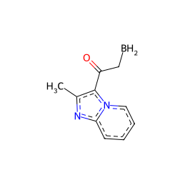 BCC(=O)c1c(C)nc2ccccn12